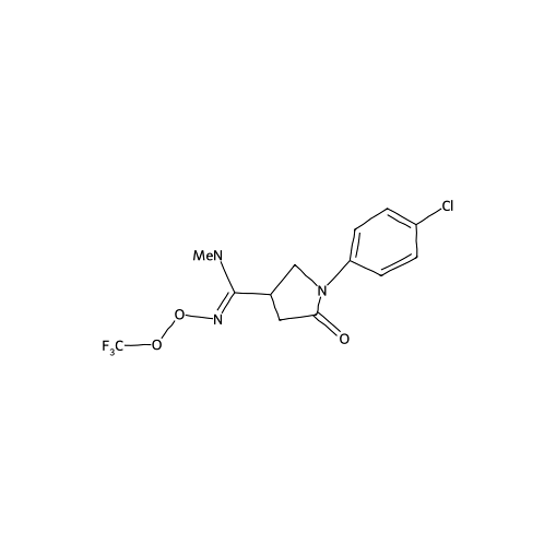 CN/C(=N\OOC(F)(F)F)C1CC(=O)N(c2ccc(Cl)cc2)C1